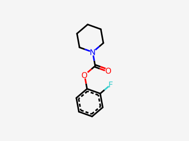 O=C(Oc1ccccc1F)N1CCCCC1